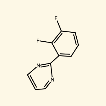 Fc1cccc(-c2ncccn2)c1F